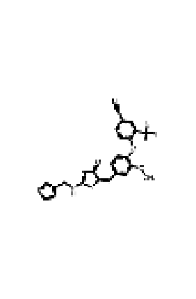 COc1cc(C=C2SC(NCc3ccsc3)=NC2=O)ccc1Oc1ccc(C#N)cc1C(F)(F)F